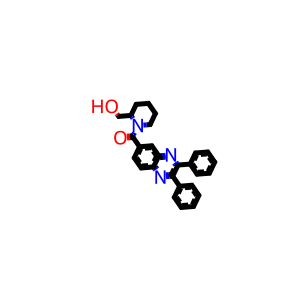 O=C(c1ccc2nc(-c3ccccc3)c(-c3ccccc3)nc2c1)N1CCCCC1CO